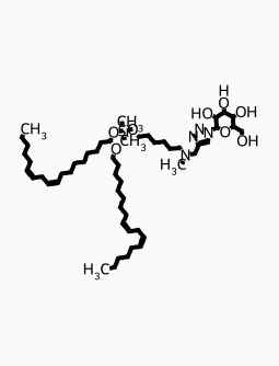 CCCCC/C=C\C/C=C\CCCCCCCCOC(CCCCCCC/C=C\C/C=C\CCCCC)O[Si](C)(C)OCCCCCCN(C)Cc1cn(C2OC(CO)C(O)C(O)C2O)nn1